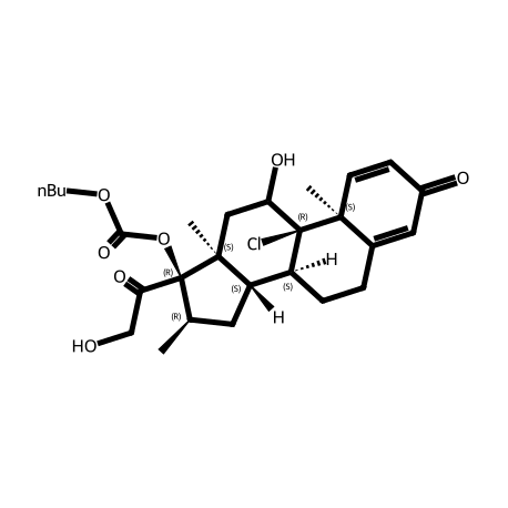 CCCCOC(=O)O[C@]1(C(=O)CO)[C@H](C)C[C@H]2[C@@H]3CCC4=CC(=O)C=C[C@]4(C)[C@@]3(Cl)C(O)C[C@@]21C